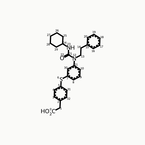 O=C(O)Cc1ccc(Sc2cccc(N(CCc3ccccc3)C(=O)NC3CCCCC3)c2)cc1